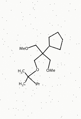 COCC(COC)(COC(C)(C)C(C)C)C1CCCC1